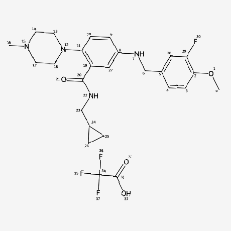 COc1ccc(CNc2ccc(N3CCN(C)CC3)c(C(=O)NCC3CC3)c2)cc1F.O=C(O)C(F)(F)F